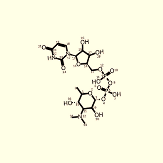 CC1O[C@H](OP(=O)(O)OP(=O)(O)OC[C@H]2O[C@@H](n3ccc(=O)[nH]c3=O)C(O)C2O)C(O)C(N(C)C)[C@@H]1O